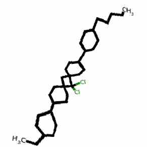 CCCCCC1CCC(C2CCC3(CC2)CC2(CCC(C4CCC(CC)CC4)CC2)C3(Cl)Cl)CC1